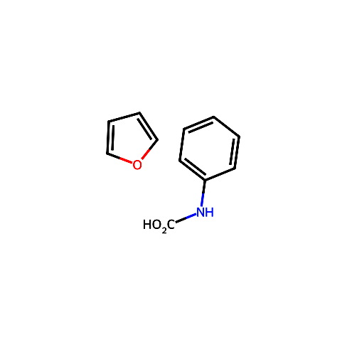 O=C(O)Nc1ccccc1.c1ccoc1